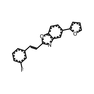 Fc1cccc(/C=C/c2nc3cc(-c4ccco4)ccc3o2)c1